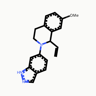 C=CC1c2cc(OC)ccc2CCN1c1ccc2cn[nH]c2c1